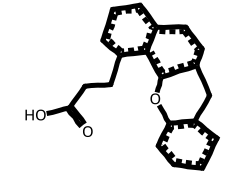 O=C(O)CCc1cccc2ccc3c(c12)Oc1ccccc1C3